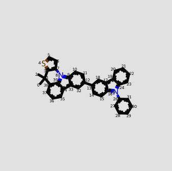 CC1(C)c2sccc2-n2c3ccc(-c4ccc5c(c4)c4ccccc4n5-c4ccccc4)cc3c3cccc1c32